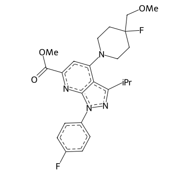 COCC1(F)CCN(c2cc(C(=O)OC)nc3c2c(C(C)C)nn3-c2ccc(F)cc2)CC1